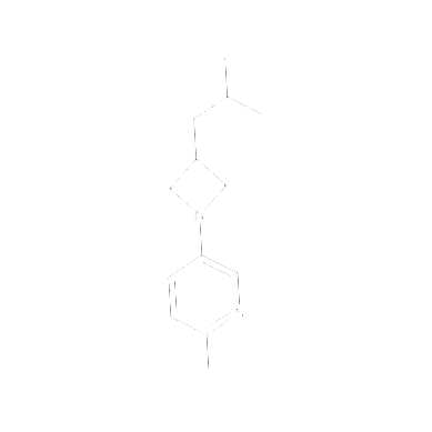 Cc1ccc(N2CC(CC(C)C)C2)cn1